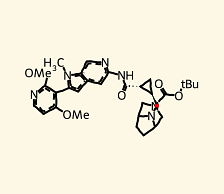 COc1ccnc(OC)c1-c1cc2cc(NC(=O)[C@@H]3C[C@H]3CN3C4CCC3CN(C(=O)OC(C)(C)C)C4)ncc2n1C